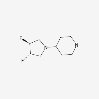 F[C@H]1CN(C2CC[N]CC2)C[C@@H]1F